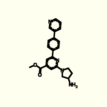 COC(=O)c1cc(-c2ccc(-c3cccnc3)cc2)nc(N2CCC(N)C2)c1